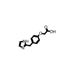 O=C(O)COc1ccc(Cc2ncc[nH]2)cc1